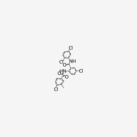 Cc1cc(S(=O)(=O)Nc2ccc(Cl)cc2C(=O)Nc2cc(Cl)ccc2Cl)ccc1Cl